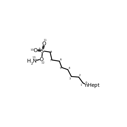 CCCCCCCCCCCCCCCS(=O)(=O)ON